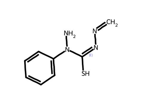 C=N/N=C(/S)N(N)c1ccccc1